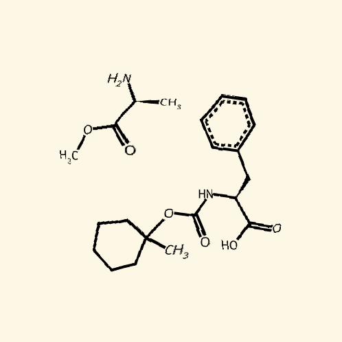 CC1(OC(=O)N[C@@H](Cc2ccccc2)C(=O)O)CCCCC1.COC(=O)[C@H](C)N